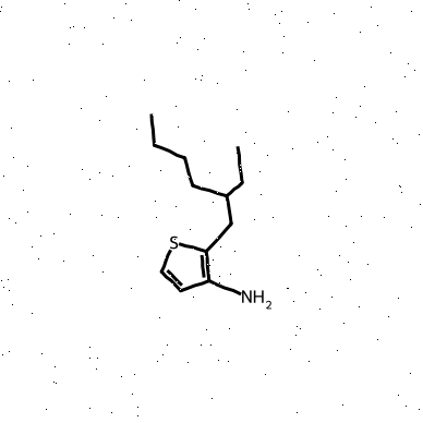 CCCCC(CC)Cc1sccc1N